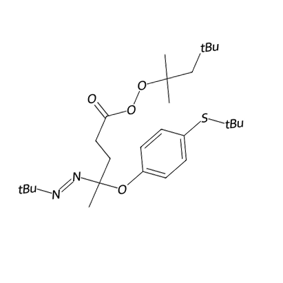 CC(C)(C)CC(C)(C)OOC(=O)CCC(C)(/N=N/C(C)(C)C)Oc1ccc(SC(C)(C)C)cc1